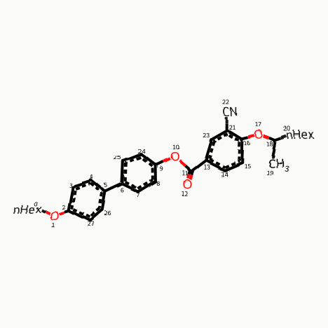 CCCCCCOc1ccc(-c2ccc(OC(=O)c3ccc(OC(C)CCCCCC)c(C#N)c3)cc2)cc1